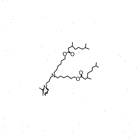 Cc1nccn1CCCN(CCCCCCOC(=O)CC(C)CCCC(C)C)CCCCCCOC(=O)CC(C)CCCC(C)C